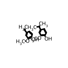 C=Cc1ccc(O)c(OC)c1.COc1cc(C(C)C)ccc1O